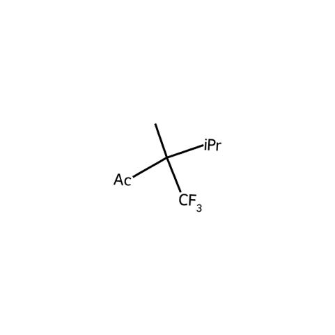 CC(=O)C(C)(C(C)C)C(F)(F)F